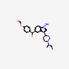 CCC(C)N1CCC(c2cn(N)c3ccc(C(=O)c4ccc(OC=O)cc4)cc23)CC1